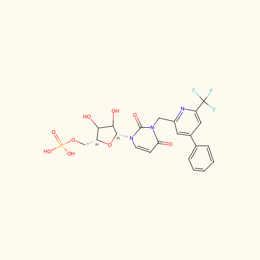 O=c1ccn([C@@H]2O[C@H](COP(=O)(O)O)C(O)C2O)c(=O)n1Cc1cc(-c2ccccc2)cc(C(F)(F)F)n1